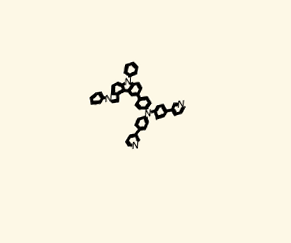 c1ccc(-n2ccc3c4c5cc(-c6ccc(N(c7ccc(-c8cccnc8)cc7)c7ccc(-c8cccnc8)cc7)cc6)ccc5n(-c5ccccc5)c4ccc32)cc1